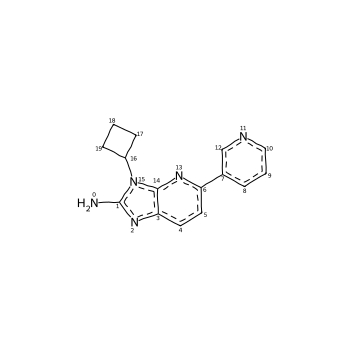 Nc1nc2ccc(-c3cccnc3)nc2n1C1CCC1